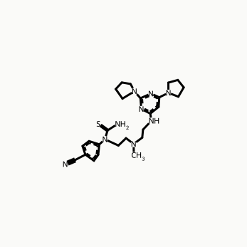 CN(CCNc1cc(N2CCCC2)nc(N2CCCC2)n1)CCN(C(N)=S)c1ccc(C#N)cc1